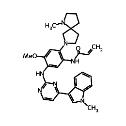 C=CC(=O)Nc1cc(Nc2nccc(-c3cn(C)c4ccccc34)n2)c(OC)cc1N1CCC2(CCCN2C)C1